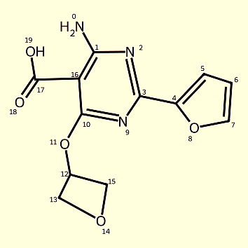 Nc1nc(-c2ccco2)nc(OC2COC2)c1C(=O)O